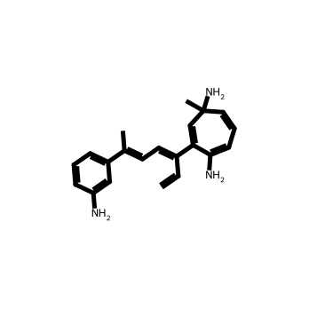 C=C/C(=C\C=C(/C)c1cccc(N)c1)C1=CC(C)(N)C=CC=C1N